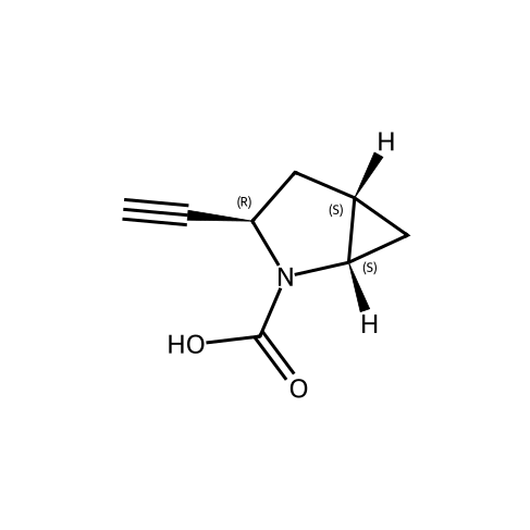 C#C[C@H]1C[C@@H]2C[C@@H]2N1C(=O)O